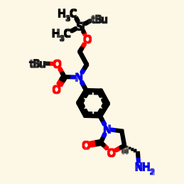 CC(C)(C)OC(=O)N(CCO[Si](C)(C)C(C)(C)C)c1ccc(N2C[C@H](CN)OC2=O)cc1